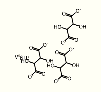 O=C([O-])C(O)C(O)C(=O)[O-].O=C([O-])C(O)C(O)C(=O)[O-].O=C([O-])C(O)C(O)C(=O)[O-].[NH4+].[V+5]